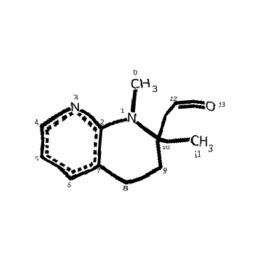 CN1c2ncccc2CCC1(C)C=O